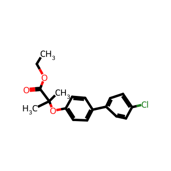 CCOC(=O)C(C)(C)Oc1ccc(-c2ccc(Cl)cc2)cc1